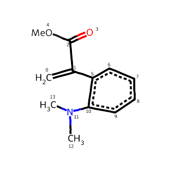 C=C(C(=O)OC)c1ccccc1N(C)C